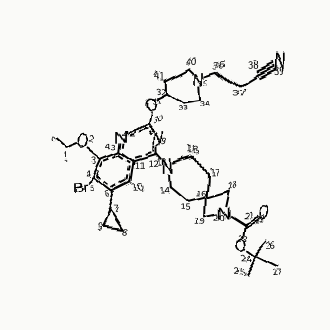 CCOc1c(Br)c(C2CC2)cc2c(N3CCC4(CC3)CN(C(=O)OC(C)(C)C)C4)nc(OC3CCN(CCC#N)CC3)nc12